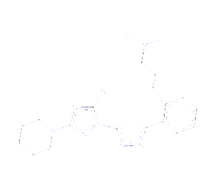 CN(C)CCOc1ccccc1-c1nnc(-n2nc(N3CCCCC3)nc2N)s1